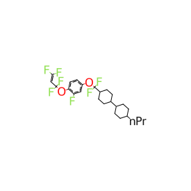 CCCC1CCC(C2CCC(C(F)(F)Oc3ccc(OC(F)(F)C=C(F)F)c(F)c3)CC2)CC1